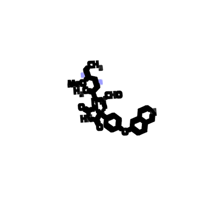 C=C(/C=C\C(=C/C)OC)CN(C=O)C[C@@]1(c2ccc(Oc3ccc4cnccc4c3)cc2)NC(=O)NC1=O